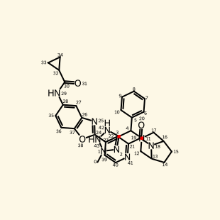 CN1N=C(C(c2ccccc2)N2CC3CCC(C2)N3C(=O)c2cc(-c3nc4cc(NC(=O)C5CC5)ccc4o3)ccn2)NN1